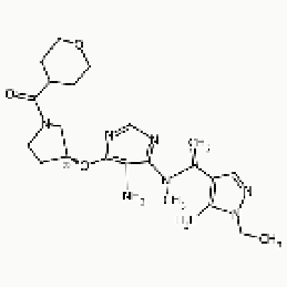 C=C(c1cnn(CC)c1C)N(C)c1ncnc(O[C@H]2CCN(C(=O)C3CCOCC3)C2)c1N